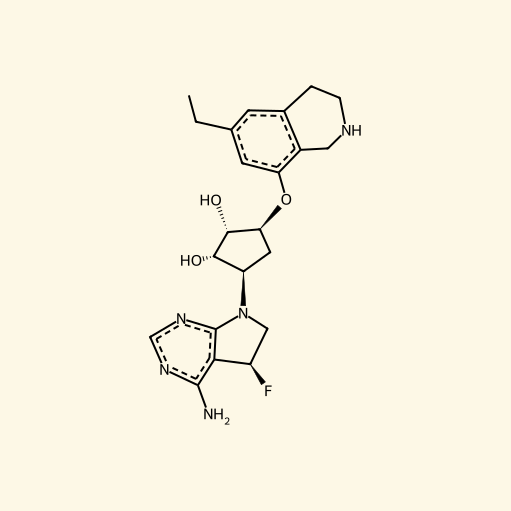 CCc1cc2c(c(O[C@H]3C[C@@H](N4C[C@@H](F)c5c(N)ncnc54)[C@H](O)[C@@H]3O)c1)CNCC2